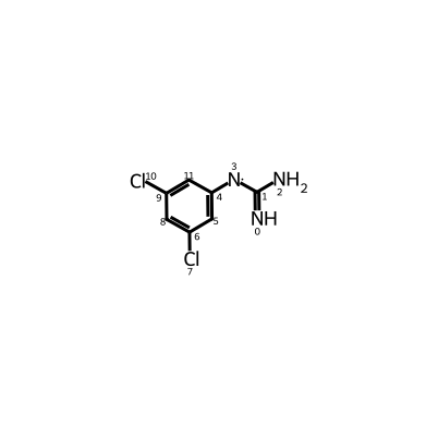 N=C(N)[N]c1cc(Cl)cc(Cl)c1